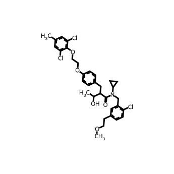 COCCc1ccc(Cl)c(CN(C(=O)C(Cc2ccc(OCCOc3c(Cl)cc(C)cc3Cl)cc2)C(C)O)C2CC2)c1